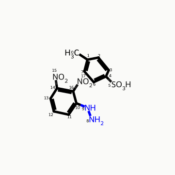 Cc1ccc(S(=O)(=O)O)cc1.NNc1cccc([N+](=O)[O-])c1[N+](=O)[O-]